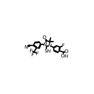 CC1(C)C(=O)N(c2ccc(C#N)c(C(F)(F)F)c2)C(S)N1c1ccc(C(=O)O)c(F)c1